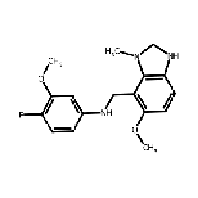 COc1cc(NCc2c(OC)ccc3c2N(C)CN3)ccc1F